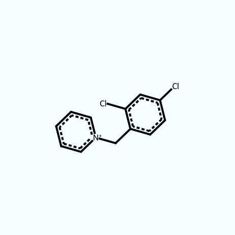 Clc1ccc(C[n+]2ccccc2)c(Cl)c1